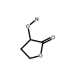 [N]OC1CCOC1=O